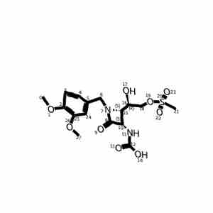 COc1ccc(CN2C(=O)[C@@H](NC(=O)O)[C@H]2[C@@H](O)COS(C)(=O)=O)cc1OC